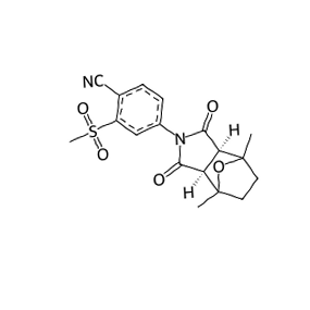 CC12CCC(C)(O1)[C@H]1C(=O)N(c3ccc(C#N)c(S(C)(=O)=O)c3)C(=O)[C@H]12